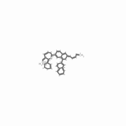 C=C/C=C\C=C1\C=c2ccc(C3=NC(=C4\C=CCCC4C)/C(=C\C)C=CC3)cc2=C(c2ccc3ccccc3c2)C1